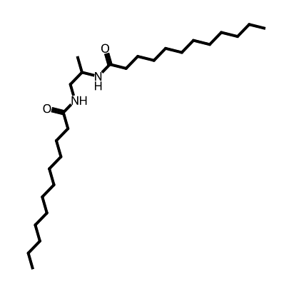 CCCCCCCCCCCC(=O)NCC(C)NC(=O)CCCCCCCCCCC